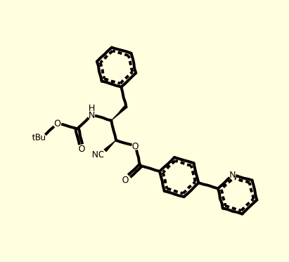 CC(C)(C)OC(=O)N[C@@H](Cc1ccccc1)[C@H](C#N)OC(=O)c1ccc(-c2ccccn2)cc1